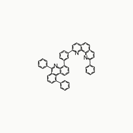 c1ccc(-c2ccc3ccc4ccc(-c5cccc(-c6cccc7c6nc(-c6ccccc6)c6cccc(-c8ccccc8)c67)c5)nc4c3n2)cc1